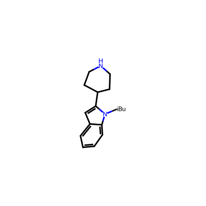 CCC(C)n1c(C2CCNCC2)cc2ccccc21